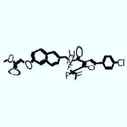 COC(=O)COc1ccc2cc(CNC(=O)c3cc(-c4ccc(Cl)cc4)oc3C(F)(F)F)ccc2c1